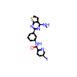 CNc1nc(-c2cccc(NC(=O)c3ccc(I)cn3)c2)nc2sccc12